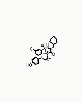 C[C@@H](CNc1ccc(O)cc1)NC(=O)[C@H](CC1CCCCC1)NS(=O)(=O)c1cccc(Cl)c1